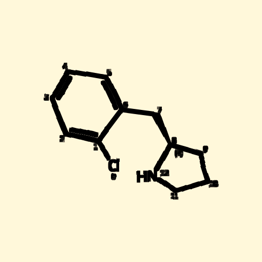 Clc1ccccc1C[C@H]1CCCN1